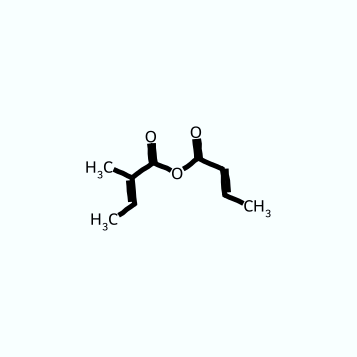 CC=CC(=O)OC(=O)C(C)=CC